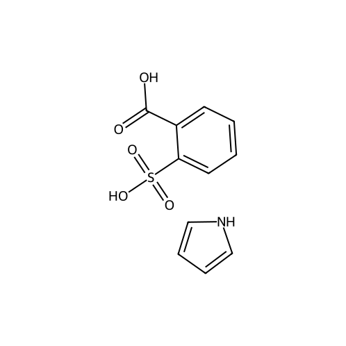 O=C(O)c1ccccc1S(=O)(=O)O.c1cc[nH]c1